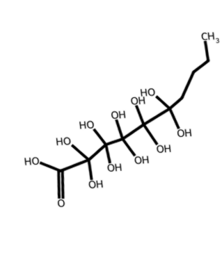 CCCCC(O)(O)C(O)(O)C(O)(O)C(O)(O)C(O)(O)C(=O)O